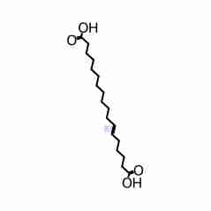 O=C(O)CCCC/C=C/CCCCCCCCCCC(=O)O